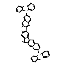 CC1(C)c2cc3cc(N4c5ccccc5Oc5ccccc54)ccc3cc2-c2cc3c(cc21)sc1cc2cc(N4c5ccccc5Oc5ccccc54)ccc2cc13